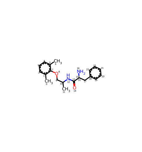 Cc1cccc(C)c1OCC(C)NC(=O)[C@@H](N)Cc1ccccc1